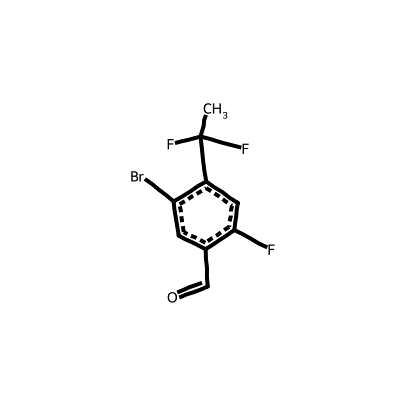 CC(F)(F)c1cc(F)c(C=O)cc1Br